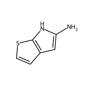 Nc1cc2ccsc2[nH]1